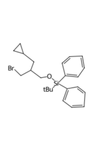 CC(C)(C)[Si](OCC(CBr)CC1CC1)(c1ccccc1)c1ccccc1